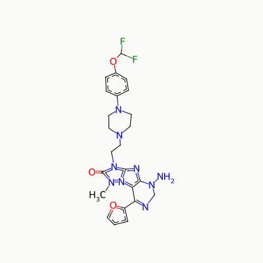 Cn1c(=O)n(CCN2CCN(c3ccc(OC(F)F)cc3)CC2)c2nc3c(n21)C(c1ccco1)=NCN3N